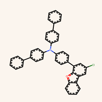 Clc1cc(-c2ccc(N(c3ccc(-c4ccccc4)cc3)c3ccc(-c4ccccc4)cc3)cc2)c2oc3ccccc3c2c1